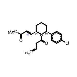 C=CCC(=O)N1[C@@H](/C=C/C(=O)OC)CCC[C@H]1c1ccc(Cl)cc1